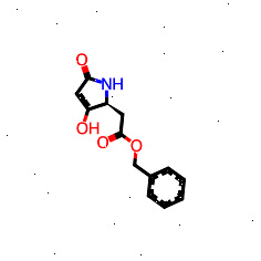 O=C1C=C(O)[C@H](CC(=O)OCc2ccccc2)N1